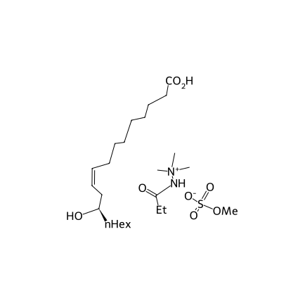 CCC(=O)N[N+](C)(C)C.CCCCCC[C@@H](O)C/C=C\CCCCCCCC(=O)O.COS(=O)(=O)[O-]